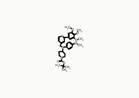 COc1ccc(N(Cc2ccnc(-c3cc(OC)c(OC)c(OC)c3)c2)C2CCN(C(=O)OC(C)(C)C)CC2)cc1